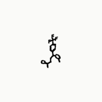 COC(CCC(C)=O)c1ccc(C(F)(F)F)cc1